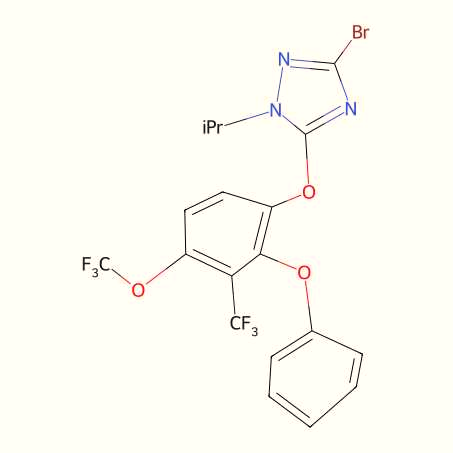 CC(C)n1nc(Br)nc1Oc1ccc(OC(F)(F)F)c(C(F)(F)F)c1Oc1ccccc1